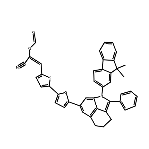 CC1(C)c2ccccc2-c2ccc(-n3c(-c4ccccc4)c4c5c(cc(-c6ccc(-c7ccc(/C=C(\C#N)OC=O)s7)s6)cc53)CCC4)cc21